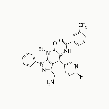 CCN1C(=O)[C@H](NC(=O)c2cccc(C(F)(F)F)c2)C(c2ccc(F)nc2)c2c(CN)nn(-c3ccccc3)c21